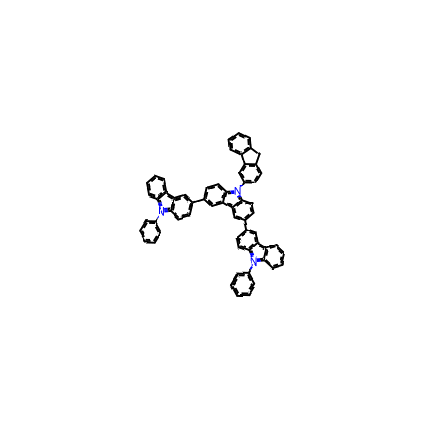 c1ccc(-n2c3ccccc3c3cc(-c4ccc5c(c4)c4cc(-c6ccc7c(c6)c6ccccc6n7-c6ccccc6)ccc4n5-c4ccc5c(c4)-c4ccccc4C5)ccc32)cc1